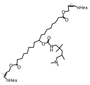 CCCCCC/C=C\COC(=O)CCCCCCCC(CCCCCCCC(=O)OC/C=C\CCCCCC)OC(=O)NCC(C)(C)CC(C)CN(C)C